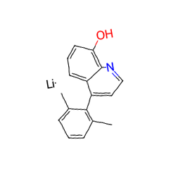 Cc1cccc(C)c1-c1ccnc2c(O)cccc12.[Li]